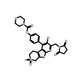 O=C(Oc1ccc(-c2c(Cl)c(CN3C(=O)CCC3=O)nc3sc4c(c23)CCS(=O)(=O)C4)cc1)N1CCOCC1